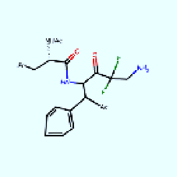 CC(=O)N[C@@H](CC(C)C)C(=O)NC(C(=O)C(F)(F)CN)C(C(C)=O)c1ccccc1